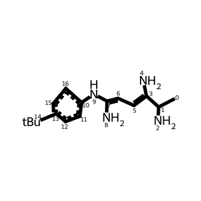 CC(N)/C(N)=C/C=C(\N)Nc1ccc(C(C)(C)C)cc1